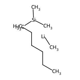 CCCCCC.C[Si](C)C.[Li][CH3]